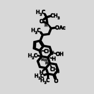 CC(=O)OC(CC(C)C1=C2C[C@H](O)[C@H]3[C@@]4(C)CCC(=O)C(C)(C)[C@@H]4CC[C@]3(C)[C@@]2(C)C=C1)[C@H]1OC1(C)C